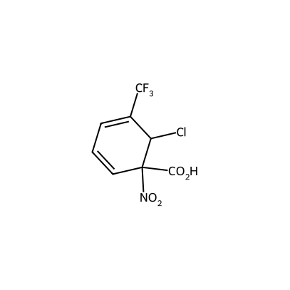 O=C(O)C1([N+](=O)[O-])C=CC=C(C(F)(F)F)C1Cl